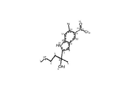 CSCCC(C)(O)c1cc2cc([N+](=O)[O-])c(C)cc2[nH]1